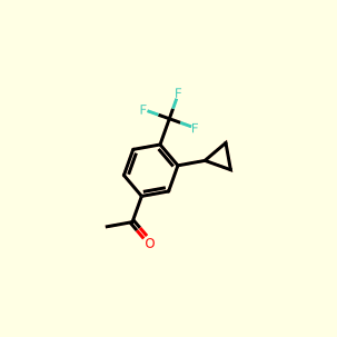 CC(=O)c1ccc(C(F)(F)F)c(C2CC2)c1